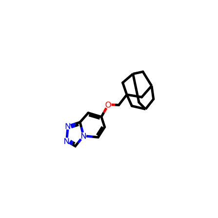 c1cn2cnnc2cc1OCC12CC3CC(CC(C3)C1)C2